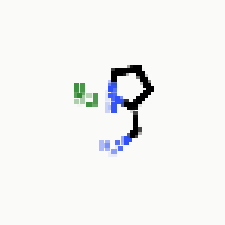 Cl.Cl.NC[C@@H]1CCCN1